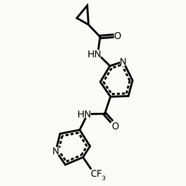 O=C(Nc1cncc(C(F)(F)F)c1)c1ccnc(NC(=O)C2CC2)c1